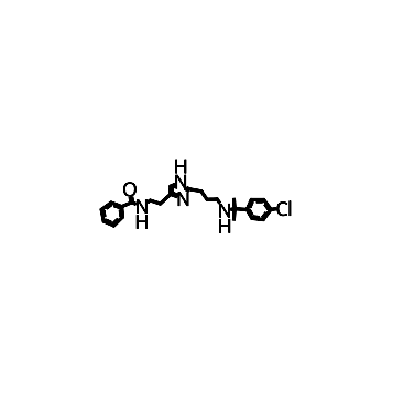 CC(C)(NCCCc1nc(CCNC(=O)c2ccccc2)c[nH]1)c1ccc(Cl)cc1